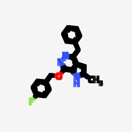 Cc1cc2c(Cc3ccccc3)nnc(OCc3ccc(F)cc3)c2[nH]1